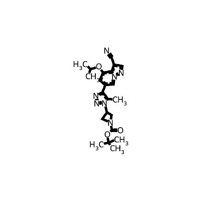 Cc1c(-c2cc(OC(C)C)c3c(C#N)cnn3c2)nnn1C1CN(C(=O)OC(C)(C)C)C1